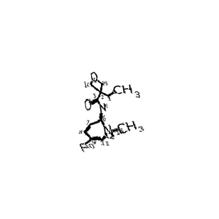 CCC1(C(=O)/N=c2\ccc(F)cn2C)COC1